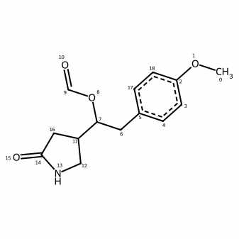 COc1ccc(CC(OC=O)C2CNC(=O)C2)cc1